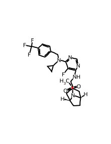 CS(=O)(=O)N1[C@@H]2CC[C@H]1CC(CNc1ncnc(N(Cc3ccc(C(F)(F)F)cc3)C3CC3)c1F)C2